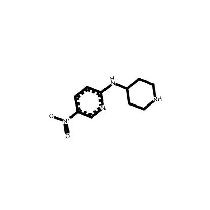 O=[N+]([O-])c1ccc(NC2CCNCC2)nc1